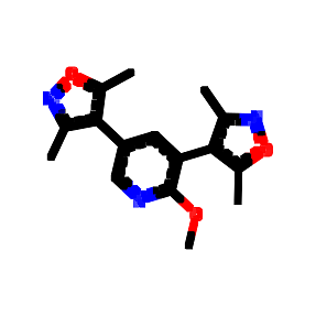 COc1ncc(-c2c(C)noc2C)cc1-c1c(C)noc1C